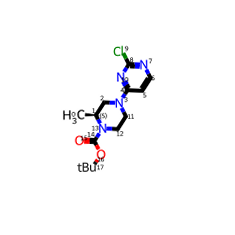 C[C@H]1CN(c2ccnc(Cl)n2)CCN1C(=O)OC(C)(C)C